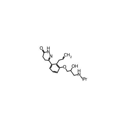 C=CCc1c(OCC(O)CNC(C)C)cccc1C1=NNC(=O)CC1